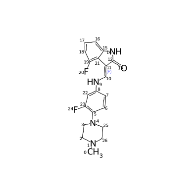 CN1CCN(c2ccc(N/C=C3/C(=O)Nc4cccc(F)c43)cc2F)CC1